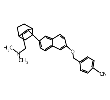 CN(C)CC1=C(c2ccc3cc(OCc4ccc(C#N)cc4)ccc3c2)C2CCC1CC2